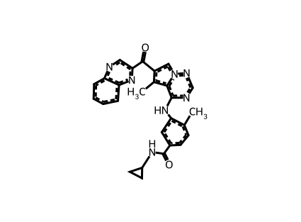 Cc1ccc(C(=O)NC2CC2)cc1Nc1ncnn2cc(C(=O)c3cnc4ccccc4n3)c(C)c12